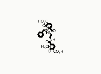 Cn1c(C(=O)NCCNC(=O)c2ccc(C(=O)O)c(=O)n2OCc2ccccc2)ccc(C(=O)O)c1=O